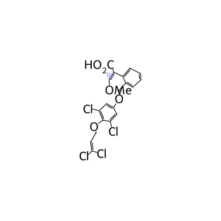 CO/C=C(/C(=O)O)c1ccccc1COc1cc(Cl)c(OCC=C(Cl)Cl)c(Cl)c1